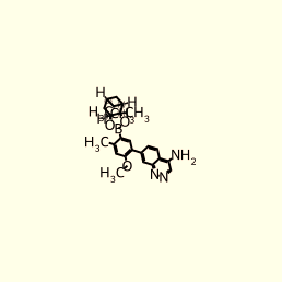 COc1cc(C)c(B2O[C@@H]3C[C@@H]4C[C@@H](C4(C)C)[C@]3(C)O2)cc1-c1ccc2c(N)cnnc2c1